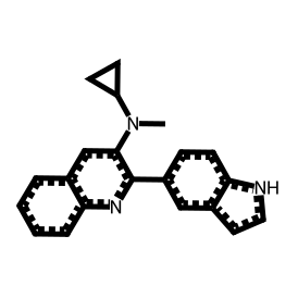 CN(c1cc2ccccc2nc1-c1ccc2[nH]ccc2c1)C1CC1